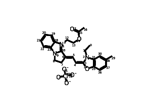 CCN1C(=CC=C2CCn3c2[n+](CCOC(C)=O)c2ccccc23)Oc2ccc(C)cc21.[O-][Cl+3]([O-])([O-])[O-]